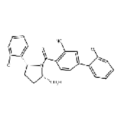 N#Cc1cc(-c2ccccc2Cl)ccc1C(=O)N1[C@@H](c2ccccc2Cl)CC[C@H]1C(=O)O